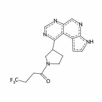 O=C(CCC(F)(F)F)N1CCC(c2ncnc3cnc4[nH]ccc4c23)C1